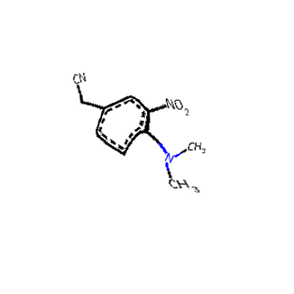 CN(C)c1ccc(CC#N)cc1[N+](=O)[O-]